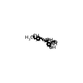 CC(C)Cc1ccc(CCNCC(O)c2ccc(O)c3c2SC(C=O)N3)cc1